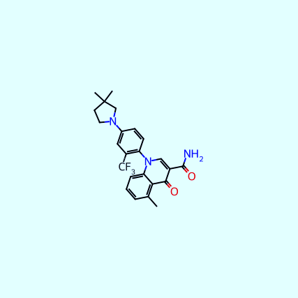 Cc1cccc2c1c(=O)c(C(N)=O)cn2-c1ccc(N2CCC(C)(C)C2)cc1C(F)(F)F